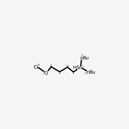 CCC[CH2][SnH]([CH2]CCC)[CH2]CCCOCl